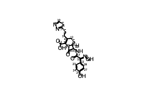 O=C(O)C1=C(CSc2nncs2)CS[C@H]2C(NC(=O)C(=NO)c3ccc(O)cc3)C(=O)N12